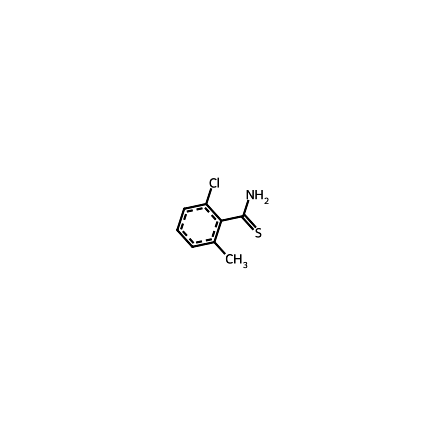 Cc1cccc(Cl)c1C(N)=S